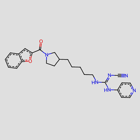 N#CN=C(NCCCCCC1CCN(C(=O)c2cc3ccccc3o2)C1)Nc1ccncc1